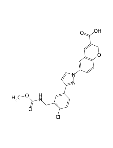 COC(=O)NCc1cc(-c2ccn(-c3ccc4c(c3)C=C(C(=O)O)CO4)n2)ccc1Cl